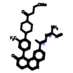 C=N/C(N)=N\C=C(/C)c1ccc2ncc3ccc(=O)n(-c4ccc(N5CCN(C(=O)CCOC)CC5)c(C(F)(F)F)c4)c3c2c1